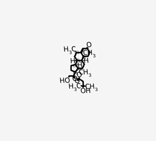 C[C@H]1C[C@@H]2[C@H](CC[C@@]3(C)[C@H]2CC[C@]3(OC(=O)CC(C)(C)O)C(=O)CO)[C@@]2(C)CCC(=O)C=C12